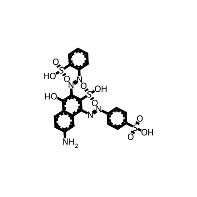 Nc1ccc2c(O)c(N=Nc3ccccc3S(=O)(=O)O)c(S(=O)(=O)O)c(N=Nc3ccc(S(=O)(=O)O)cc3)c2c1